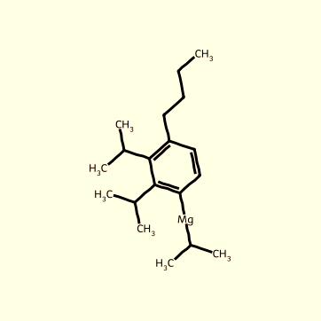 CCCCc1cc[c]([Mg][CH](C)C)c(C(C)C)c1C(C)C